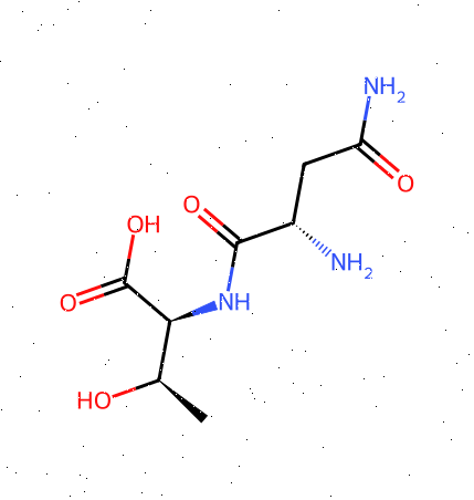 C[C@@H](O)[C@H](NC(=O)[C@@H](N)CC(N)=O)C(=O)O